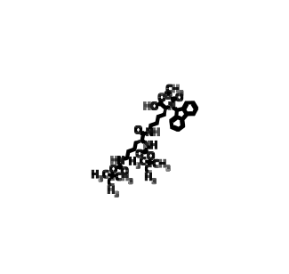 COC(=O)N(C1c2ccccc2-c2ccccc21)[C@@H](CCCCNC(=O)[C@H](CCCCNC(=O)OC(C)(C)C)NC(=O)OC(C)(C)C)C(=O)O